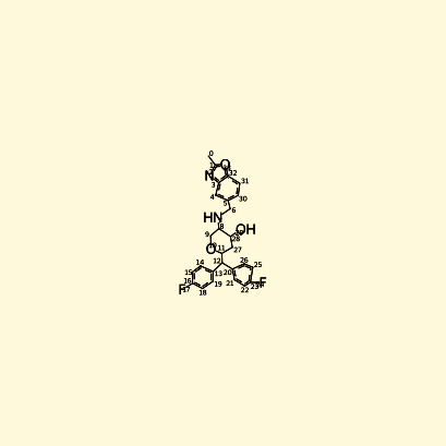 Cc1nc2cc(CNC3COC(C(c4ccc(F)cc4)c4ccc(F)cc4)CC3O)ccc2o1